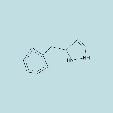 C1=CC(Cc2ccccc2)NN1